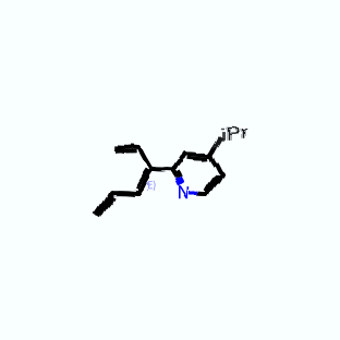 C=C/C=C(\C=C)c1cc(C(C)C)ccn1